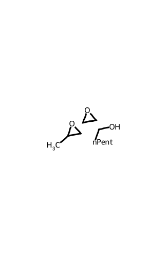 C1CO1.CC1CO1.CCCCCCO